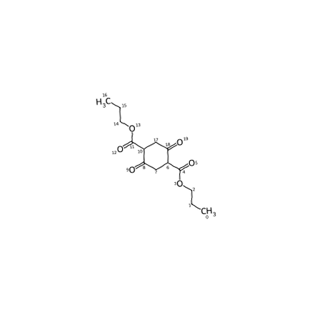 CCCOC(=O)C1CC(=O)C(C(=O)OCCC)CC1=O